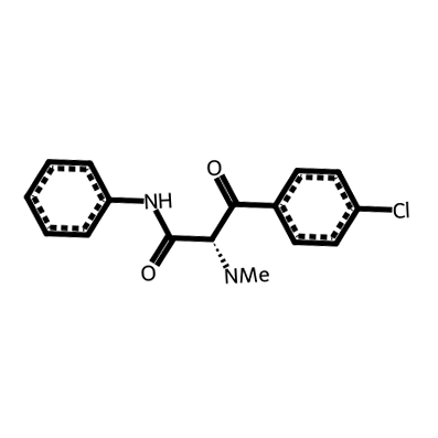 CN[C@H](C(=O)Nc1ccccc1)C(=O)c1ccc(Cl)cc1